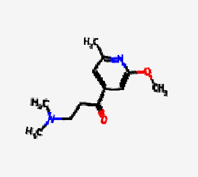 COc1cc(C(=O)CCN(C)C)cc(C)n1